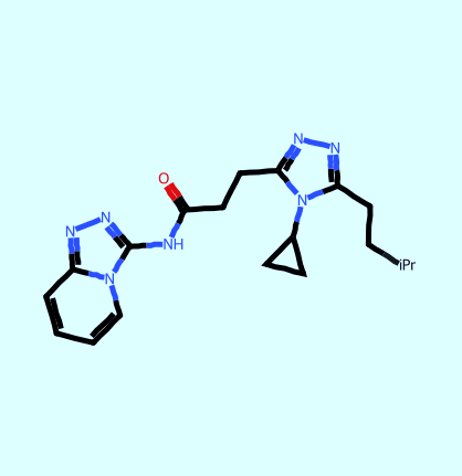 CC(C)CCc1nnc(CCC(=O)Nc2nnc3ccccn23)n1C1CC1